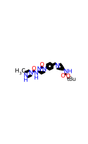 C[C@@H]1CN(C(=O)Nc2ccn(-c3ccc(CN4CC5C(C4)C5NC(=O)OC(C)(C)C)cc3)c(=O)n2)CCN1